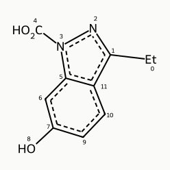 CCc1nn(C(=O)O)c2cc(O)ccc12